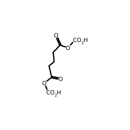 O=C(O)OC(=O)CCCC(=O)OC(=O)O